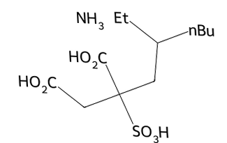 CCCCC(CC)CC(CC(=O)O)(C(=O)O)S(=O)(=O)O.N